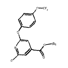 CC(C)(C)OC(=O)c1cc(Cl)nc(Oc2ccc(OC(F)(F)F)cc2)c1